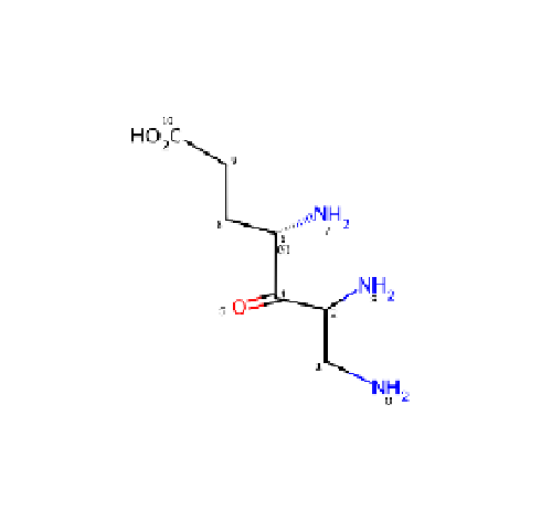 NCC(N)C(=O)[C@@H](N)CCC(=O)O